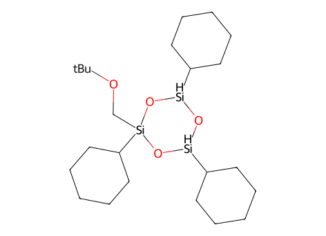 CC(C)(C)OC[Si]1(C2CCCCC2)O[SiH](C2CCCCC2)O[SiH](C2CCCCC2)O1